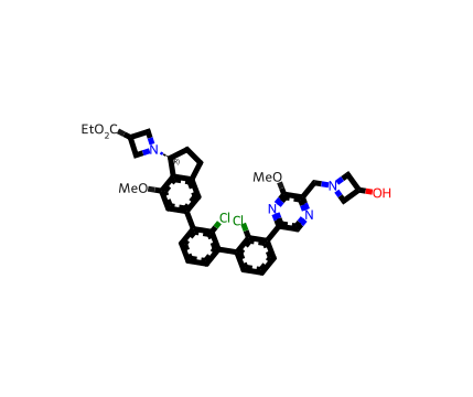 CCOC(=O)C1CN([C@@H]2CCc3cc(-c4cccc(-c5cccc(-c6cnc(CN7CC(O)C7)c(OC)n6)c5Cl)c4Cl)cc(OC)c32)C1